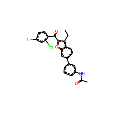 CCc1c(C(=O)c2ccc(Cl)cc2Cl)oc2cc(-c3cccc(NC(C)=O)c3)ccc12